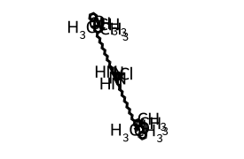 CC1(C)CC(CCCCCCCCCCCCNc2nc(Cl)nc(NCCCCCCCCCCCCC3CC(C)(C)N(OC4CCCCC4)C(C)(C)C3)n2)CC(C)(C)N1OC1CCCCC1